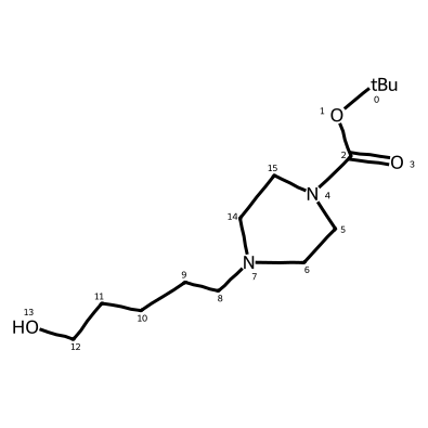 CC(C)(C)OC(=O)N1CCN(CCCCCO)CC1